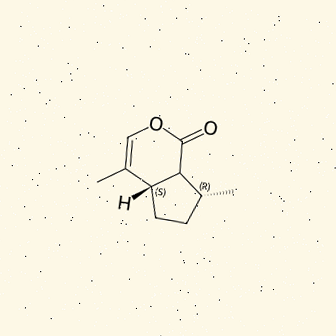 CC1=COC(=O)C2[C@H](C)CC[C@H]12